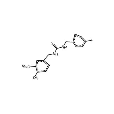 COc1cc(CNC(=S)NCc2ccc(F)cc2)ccc1O